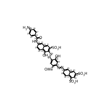 COc1cc(N=Nc2c(S(=O)(=O)O)cc3cc(NC(=O)c4ccc(N)cc4)ccc3c2O)c(O)cc1N=Nc1ccc2c(S(=O)(=O)O)cc(S(=O)(=O)O)cc2c1